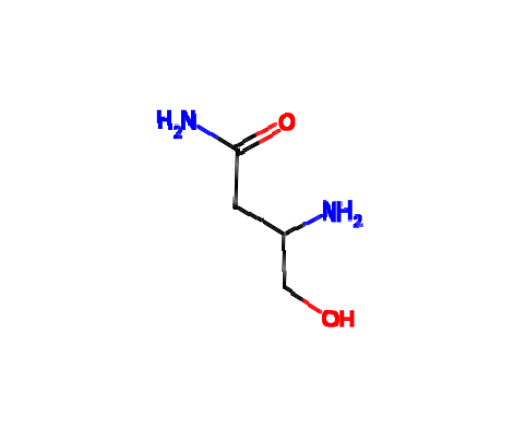 NC(=O)CC(N)CO